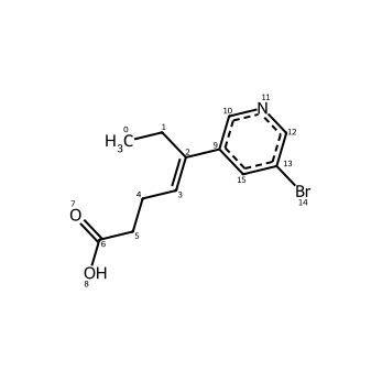 CCC(=CCCC(=O)O)c1cncc(Br)c1